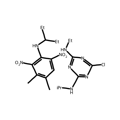 CCC(CC)Nc1c([N+](=O)[O-])cc(C)c(C)c1[N+](=O)[O-].CCNc1nc(Cl)nc(NC(C)C)n1